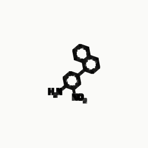 Nc1ccc(-c2cccc3ccccc23)cc1[N+](=O)[O-]